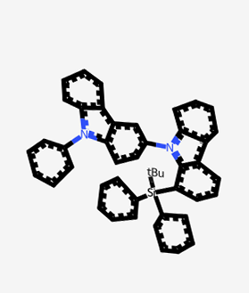 CC(C)(C)[Si](c1ccccc1)(c1ccccc1)c1cccc2c3ccccc3n(-c3ccc4c(c3)c3ccccc3n4-c3ccccc3)c12